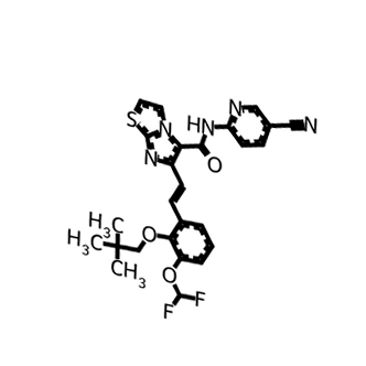 CC(C)(C)COc1c(C=Cc2nc3sccn3c2C(=O)Nc2ccc(C#N)cn2)cccc1OC(F)F